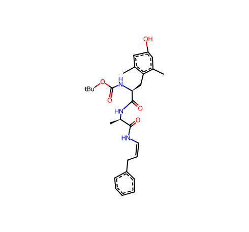 Cc1cc(O)cc(C)c1C[C@H](NC(=O)OC(C)(C)C)C(=O)N[C@H](C)C(=O)N/C=C\Cc1ccccc1